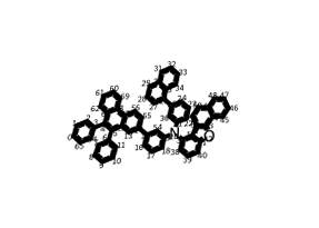 c1ccc(-c2c(-c3ccccc3)c3cc(-c4cccc(N(c5cccc(-c6cccc7ccccc67)c5)c5cccc6oc7c8ccccc8ccc7c56)c4)ccc3c3ccccc23)cc1